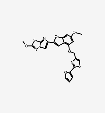 COc1cc(OCc2csc(-c3ccco3)n2)c2cc(-c3cn4nc(OC)sc4n3)oc2c1